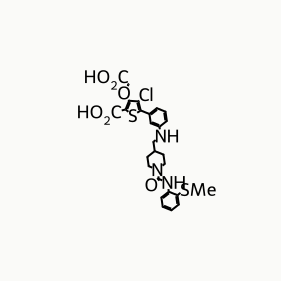 CSc1ccccc1NC(=O)N1CCC(CNc2cccc(-c3sc(C(=O)O)c(OCC(=O)O)c3Cl)c2)CC1